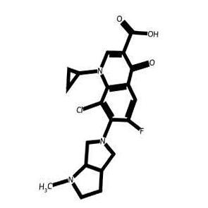 CN1CCC2CN(c3c(F)cc4c(=O)c(C(=O)O)cn(C5CC5)c4c3Cl)CC21